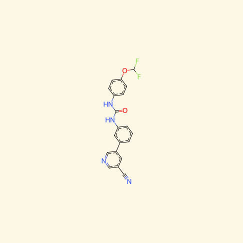 N#Cc1cncc(-c2cccc(NC(=O)Nc3ccc(OC(F)F)cc3)c2)c1